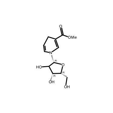 COC(=O)C1=CN([C@@H]2O[C@H](CO)[C@H](O)C2O)C=CC1